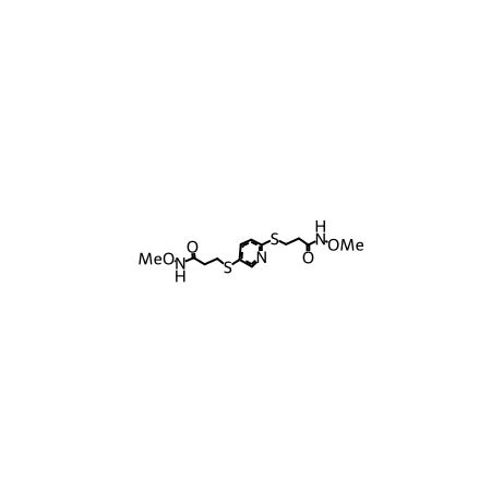 CONC(=O)CCSc1ccc(SCCC(=O)NOC)nc1